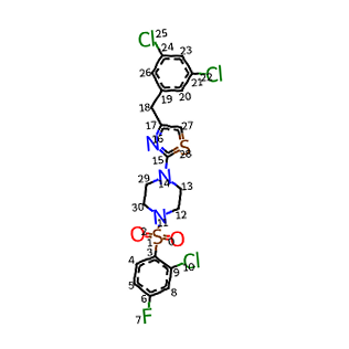 O=S(=O)(c1ccc(F)cc1Cl)N1CCN(c2nc(Cc3cc(Cl)cc(Cl)c3)cs2)CC1